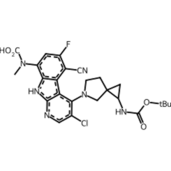 CN(C(=O)O)c1cc(F)c(C#N)c2c1[nH]c1ncc(Cl)c(N3CCC4(CC4NC(=O)OC(C)(C)C)C3)c12